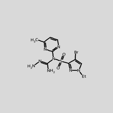 CCn1cc(Br)c(S(=O)(=O)N(C(N)=NN)c2nccc(C)n2)n1